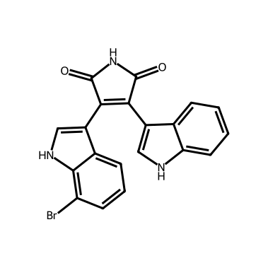 O=C1NC(=O)C(c2c[nH]c3c(Br)cccc23)=C1c1c[nH]c2ccccc12